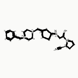 N#C[C@@H]1CCCN1C(=O)CNC1CCC(CN2CCN(Cc3ccccc3)CC2)C1